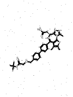 Cc1sc2c(c1C)C(c1ccc(-c3ccc(COCC(=O)OC(C)(C)C)cc3)cc1)=N[C@@H](CC(=O)O)c1nnc(C)n1-2